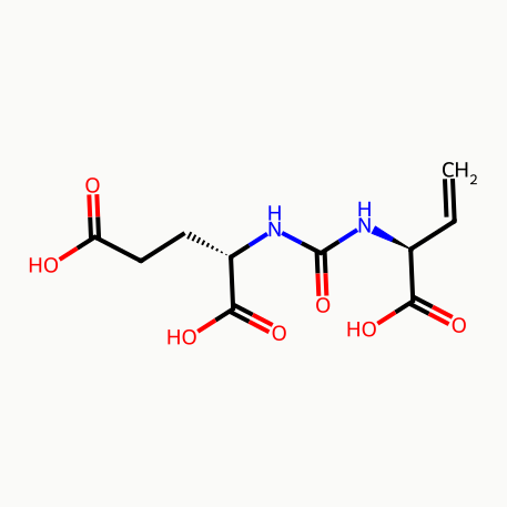 C=C[C@H](NC(=O)N[C@@H](CCC(=O)O)C(=O)O)C(=O)O